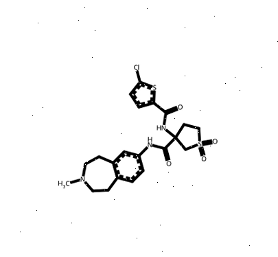 CN1CCc2ccc(NC(=O)C3(NC(=O)c4ccc(Cl)s4)CCS(=O)(=O)C3)cc2CC1